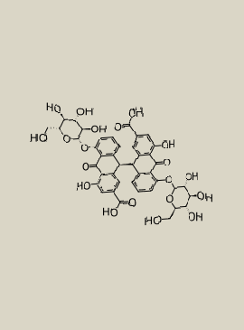 O=C(O)c1cc(O)c2c(c1)C([C@H]1c3cc(C(=O)O)cc(O)c3C(=O)c3c(O[C@@H]4O[C@H](CO)[C@@H](O)[C@H](O)[C@H]4O)cccc31)c1cccc(O[C@@H]3O[C@H](CO)[C@@H](O)[C@H](O)[C@H]3O)c1C2=O